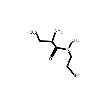 CC(C)CCN(C)C(=O)C(N)CS(=O)(=O)O